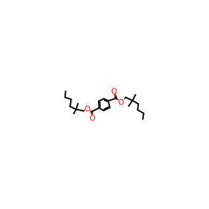 CCCCC(C)(C)COC(=O)c1ccc(C(=O)OCC(C)(C)CCCC)cc1